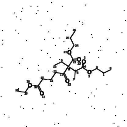 CCCOC(=O)[C](C)C(CC)(C(=O)CCCC(=O)OCC)C(=O)OCCC